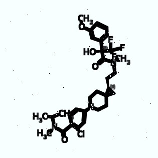 COc1cccc([C@@](O)(C(=O)N(C)CC[C@H]2CC23CCN(c2ccc(C(=O)N(C)C(C)C)c(Cl)c2)CC3)C(F)(F)F)c1